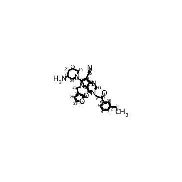 CCc1cccc(C(=O)Cn2cnc3c(C#N)c(N4CCCC(N)C4)n(Cc4ccoc4)c3c2=O)c1